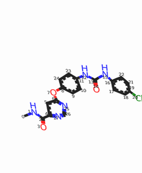 CNC(=O)c1cc(Oc2ccc(NC(=O)Nc3ccc(Cl)cc3)cc2)ncn1